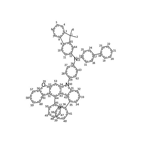 CC1(C)c2ccccc2-c2ccc(N(c3ccc(-c4ccccc4)cc3)c3ccc(-n4c5cccc(-c6ccccc6)c5c5c(-c6ccccc6)c6c(cc54)oc4ccccc46)cc3)cc21